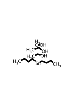 CCC[CH2][Sn][CH2]CCC.CCO.CCO.CO